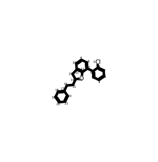 Clc1ccccc1-c1cccc2c1OC([CH]Cc1ccccc1)C2